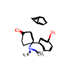 CCN(C)C1(c2cccc(O)c2)CCC(=O)CC1.c1cc2cc-2c1